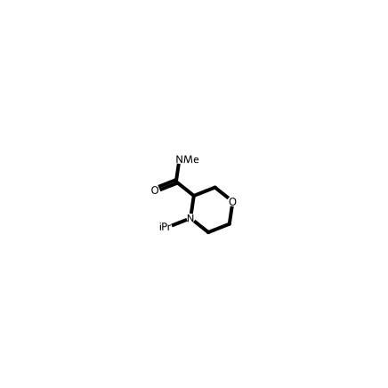 CNC(=O)C1COCCN1C(C)C